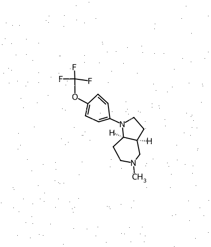 CN1CC[C@@H]2[C@@H](CCN2c2ccc(OC(F)(F)F)cc2)C1